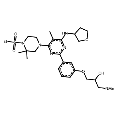 CCS(=O)(=O)N1CCN(c2nc(-c3cccc(OCC(O)CNC)c3)nc(NC3CCOC3)c2C)CC1(C)C